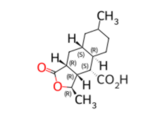 CC1CC[C@@H]2[C@@H](C1)C[C@H]1C(=O)O[C@H](C)[C@H]1[C@H]2C(=O)O